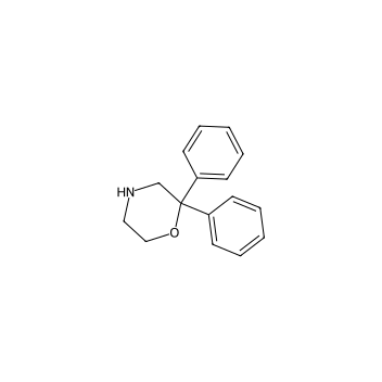 c1ccc(C2(c3ccccc3)CNCCO2)cc1